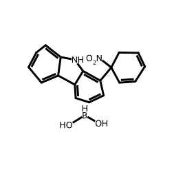 O=[N+]([O-])C1(c2cccc3c2[nH]c2ccccc23)C=CC=CC1.OBO